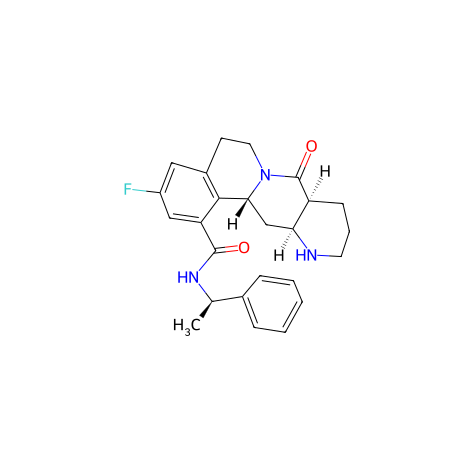 C[C@@H](NC(=O)c1cc(F)cc2c1[C@H]1C[C@@H]3NCCC[C@@H]3C(=O)N1CC2)c1ccccc1